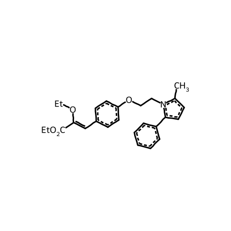 CCOC(=O)C(=Cc1ccc(OCCn2c(C)ccc2-c2ccccc2)cc1)OCC